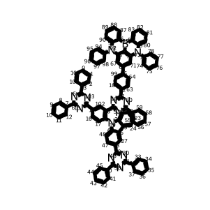 c1ccc(-c2nc(-c3ccccc3)nc(-c3ccc(-n4c5ccccc5c5cc(-c6nc(-c7ccccc7)nc(-c7ccccc7)n6)ccc54)c(-c4nc(-c5ccccc5)nc(-c5ccc(-c6cc7c8c(c6)N(c6ccccc6)c6ccccc6B8c6ccccc6N7c6ccccc6)cc5)n4)c3)n2)cc1